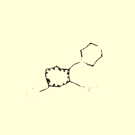 CC(=O)Nc1cc(C)ccc1N1CCOCC1